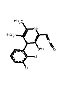 CCOC(=O)C1=C(C(=O)O)NC(C=C=O)=C(OC)C1c1cccc(Cl)c1Cl